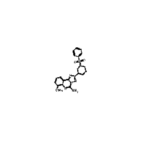 COc1cccc2c1nc(N)n1nc(C3CCCN(S(=O)(=O)c4ccccc4)C3)nc21